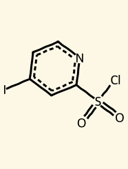 O=S(=O)(Cl)c1cc(I)ccn1